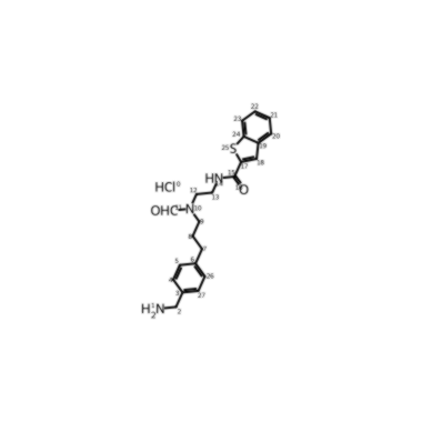 Cl.NCc1ccc(CCCN(C=O)CCNC(=O)c2cc3ccccc3s2)cc1